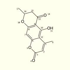 Cc1cc(=O)oc2cc3c(c(O)c12)C(=O)CC(C)O3